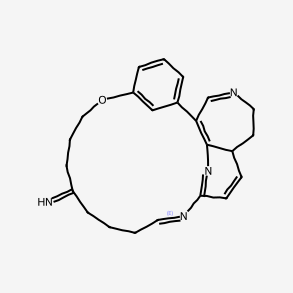 N=C1CCC/C=N/C2=NC3=C(C=NCCC3C=C2)c2cccc(c2)OCCC1